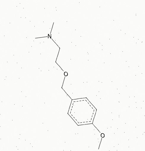 COc1ccc(COCCN(C)C)cc1